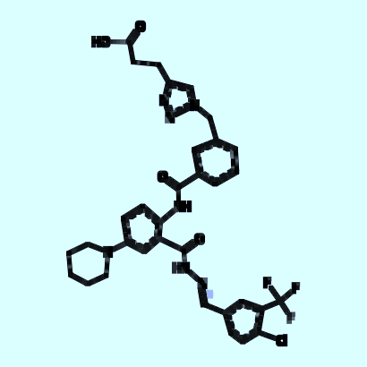 O=C(O)CCc1cn(Cc2cccc(C(=O)Nc3ccc(N4CCCCC4)cc3C(=O)N/N=C/c3ccc(Cl)c(C(F)(F)F)c3)c2)nn1